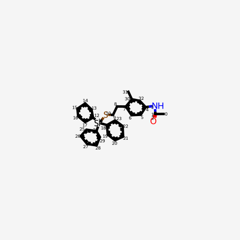 CC(=O)Nc1ccc(CCS[Si](c2ccccc2)(c2ccccc2)c2ccccc2)c(C)c1